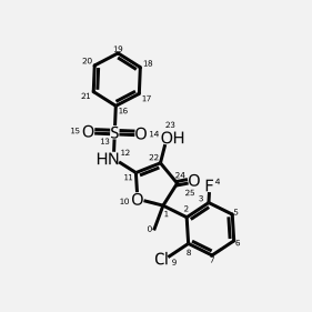 CC1(c2c(F)cccc2Cl)OC(NS(=O)(=O)c2ccccc2)=C(O)C1=O